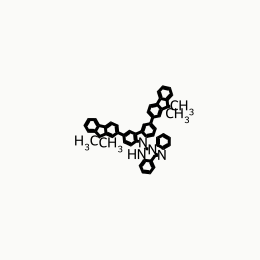 CC1(C)c2ccccc2-c2ccc(-c3ccc4c(c3)c3cc(-c5ccc6c(c5)C(C)(C)c5ccccc5-6)ccc3n4C3Nc4ccccc4-c4nc5ccccc5n43)cc21